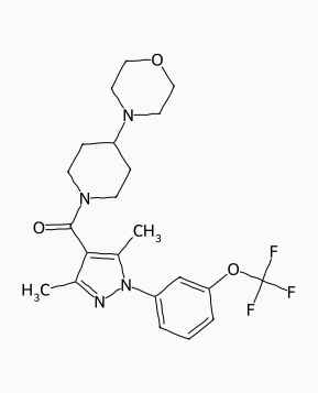 Cc1nn(-c2cccc(OC(F)(F)F)c2)c(C)c1C(=O)N1CCC(N2CCOCC2)CC1